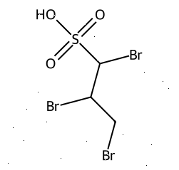 O=S(=O)(O)C(Br)C(Br)CBr